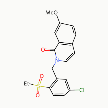 CCS(=O)(=O)c1ccc(Cl)cc1Cn1ccc2ccc(OC)cc2c1=O